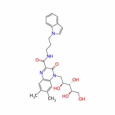 Cc1cc2nc(C(=O)NCCCn3ccc4ccccc43)c(=O)n(C[C@H](O)[C@H](O)[C@H](O)CO)c2cc1C